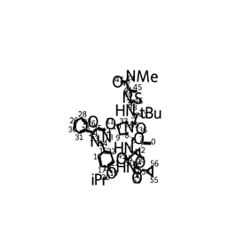 C=C[C@@H]1C[C@]1(NC(=O)[C@@H]1C[C@@H](Oc2nc(-c3ccc(OC(C)C)cc3)nc3c2oc2ccccc23)CN1C(=O)[C@@H](Nc1nc(C(=O)NC)cs1)C(C)(C)C)C(=O)NS(=O)(=O)C1CC1